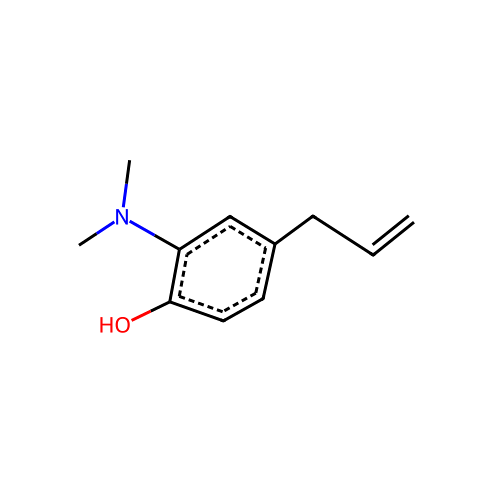 C=CCc1ccc(O)c(N(C)C)c1